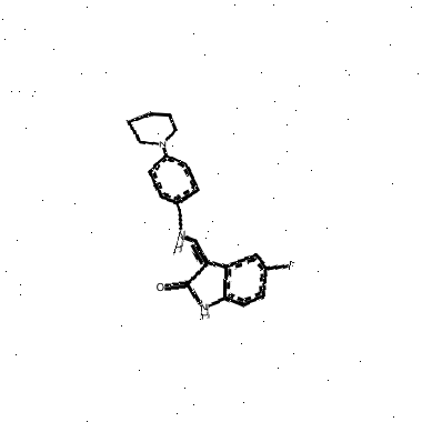 O=C1Nc2ccc(F)cc2C1=CNc1ccc(N2CCCCC2)cc1